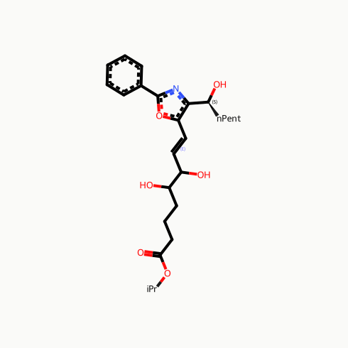 CCCCC[C@H](O)c1nc(-c2ccccc2)oc1/C=C/C(O)C(O)CCCC(=O)OC(C)C